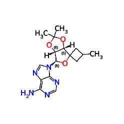 CC1CC2(C1)O[C@@H](n1cnc3c(N)ncnc31)[C@@H]1OC(C)(C)O[C@@H]12